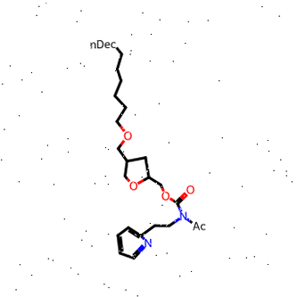 CCCCCCCCCCCCCCCCOCC1COC(COC(=O)N(CCc2ccccn2)C(C)=O)C1